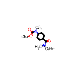 CON(C)C(=O)C1CCC(N(C)C(=O)OC(C)(C)C)CC1